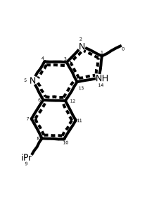 Cc1nc2cnc3cc(C(C)C)ccc3c2[nH]1